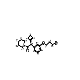 O=C(C(C1=CCC1)c1cccc(OCCCBr)c1)N1CCCCC1